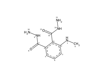 CNc1cccc(C(=O)NN)c1C(=O)NN